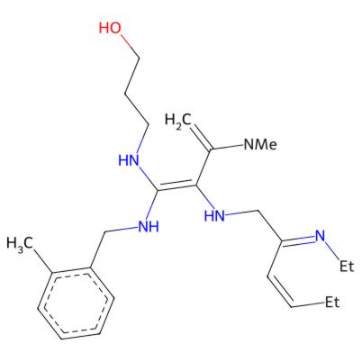 C=C(NC)/C(NCC(/C=C\CC)=N/CC)=C(\NCCCO)NCc1ccccc1C